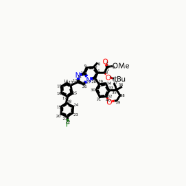 COC(=O)C(OC(C)(C)C)c1c(C)cc2nc(-c3cccc(-c4ccc(F)cc4)c3)cn2c1-c1ccc2c(c1)C(C)(C)CCO2